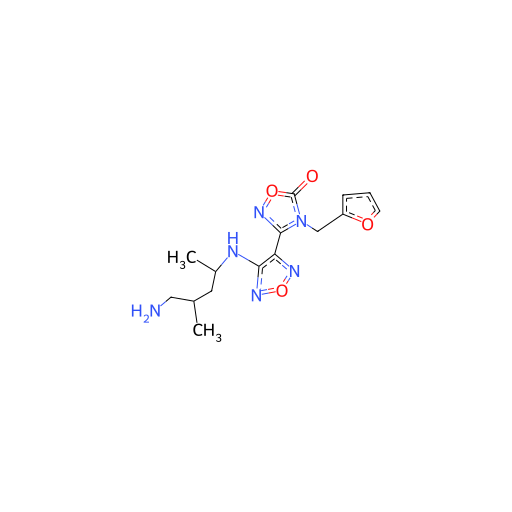 CC(CN)CC(C)Nc1nonc1-c1noc(=O)n1Cc1ccco1